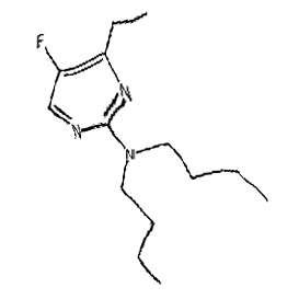 CCCCN(CCCC)c1ncc(F)c(CC)n1